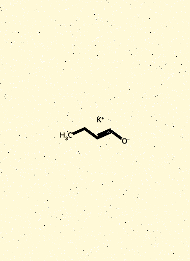 CCC=C[O-].[K+]